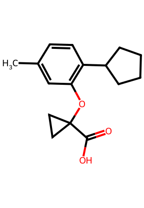 Cc1ccc(C2CCCC2)c(OC2(C(=O)O)CC2)c1